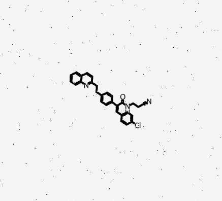 N#CCCNC(=O)C(=Cc1ccc(Cl)cc1)c1ccc(CCc2ccc3ccccc3n2)cc1